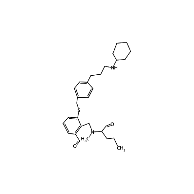 CCCC(C=O)N(C)Cc1c(C=O)cccc1SCc1ccc(CCCNC2CCCCC2)cc1